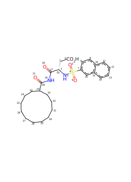 O=C(O)C[C@H](NS(=O)(=O)c1ccc2ccccc2c1)C(=O)NC(=O)C1CCCCCCCCCCC1